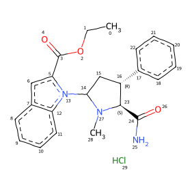 CCOC(=O)c1cc2ccccc2n1C1C[C@H](c2ccccc2)[C@@H](C(N)=O)N1C.Cl